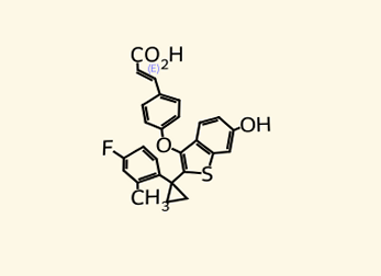 Cc1cc(F)ccc1C1(c2sc3cc(O)ccc3c2Oc2ccc(/C=C/C(=O)O)cc2)CC1